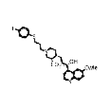 COc1ccc2nccc([C@@H](O)CC[C@@H]3CCN(CCCSc4ccc(F)cc4)C[C@@H]3C(=O)O)c2c1